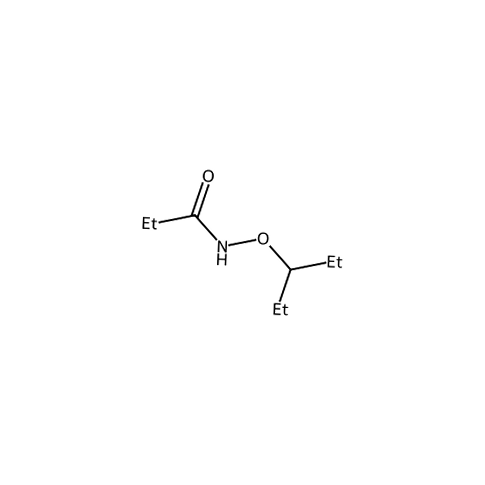 CCC(=O)NOC(CC)CC